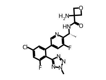 C[C@@H](NC(=O)C1(N)COC1)c1ncc(-c2cc(Cl)cc(F)c2-c2nnn(C)n2)cc1F